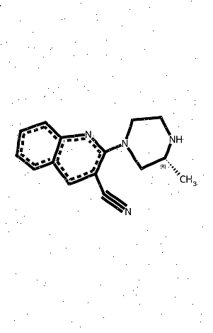 C[C@@H]1CN(c2nc3ccccc3cc2C#N)CCN1